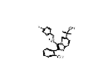 CC(C)(O)c1ccc2nc(-c3ccccc3O)c(NCc3ccc(F)cc3)n2c1